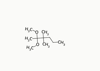 CCCC(C)(C)C(C)(OC)OC